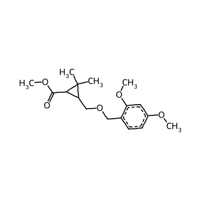 COC(=O)C1C(COCc2ccc(OC)cc2OC)C1(C)C